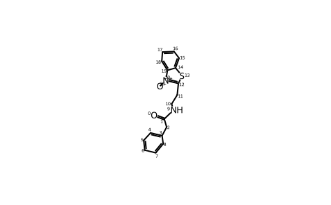 O=C(Cc1ccccc1)NCCc1sc2ccccc2[n+]1[O-]